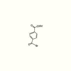 COC(=O)c1ccc(C(=O)Br)cc1